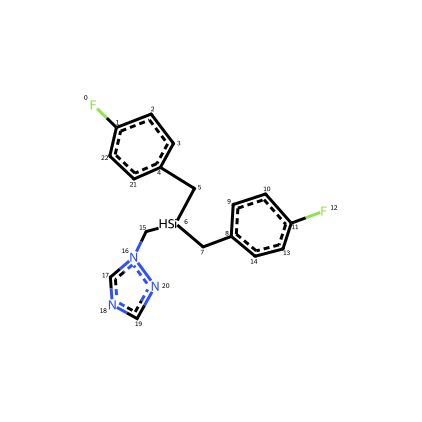 Fc1ccc(C[SiH](Cc2ccc(F)cc2)Cn2cncn2)cc1